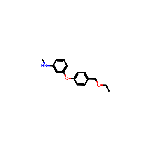 CCOCc1ccc(Oc2cccc(NC)c2)cc1